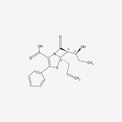 C=CC[C@]12SC(c3ccccc3)=C(C(=O)O)N1C(=O)[C@H]2[C@@H](O)CC